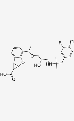 CC(OCC(O)CNC(C)(C)Cc1ccc(Cl)c(F)c1)c1cccc2c1OC1C(C(=O)O)C21